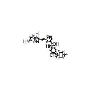 CN1CCN(Cc2ccc(NC(O)C3=CN=CC(C#Cc4ncc(/C=C\C=N)[nH]4)C3)cc2C(F)(F)F)CC1